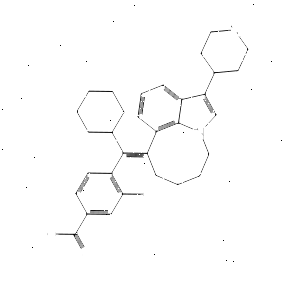 Cc1cc(C(=O)O)ccc1/C(=C1\CCCCn2cc(C3CCNCC3)c3cccc1c32)C1CCCCC1